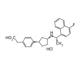 C[C@@H](N[C@H]1CC[C@@H](c2ccc(CC(=O)O)cc2)C1)c1ccc(F)c2ccccc12.Cl